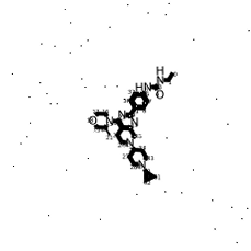 CCNC(=O)Nc1ccc(-c2nc3c(c(N4CCOC[C@@H]4C)n2)CCN(C2CCN(C4CC4)CC2)C3)cc1